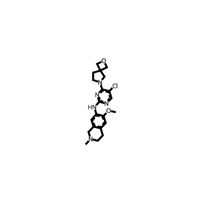 COc1cc2c(cc1Nc1ncc(Cl)c(N3CCC4(COC4)C3)n1)CN(C)CC2